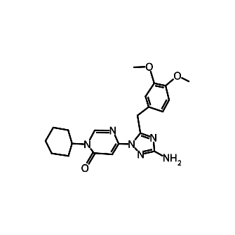 COc1ccc(Cc2nc(N)nn2-c2cc(=O)n(C3CCCCC3)cn2)cc1OC